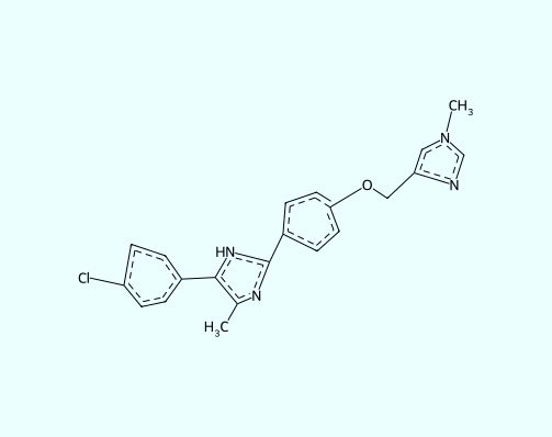 Cc1nc(-c2ccc(OCc3cn(C)cn3)cc2)[nH]c1-c1ccc(Cl)cc1